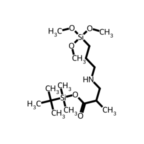 CO[Si](CCCNCC(C)C(=O)O[Si](C)(C)C(C)(C)C)(OC)OC